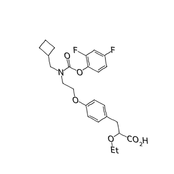 CCOC(Cc1ccc(OCCN(CC2CCC2)C(=O)Oc2ccc(F)cc2F)cc1)C(=O)O